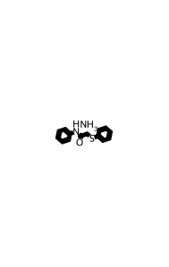 N.O=C(CSc1ccccc1)Nc1ccccc1